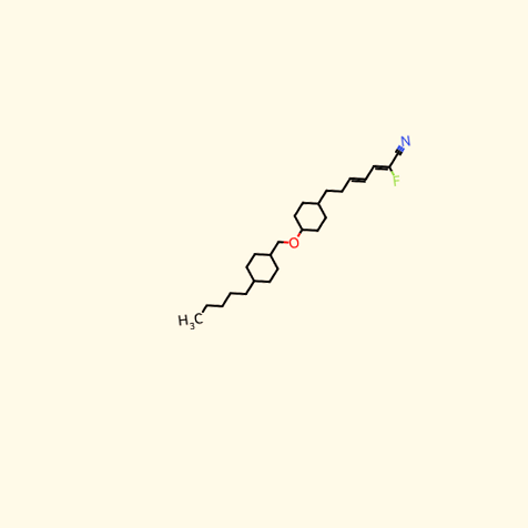 CCCCCC1CCC(COC2CCC(CCC=CC=C(F)C#N)CC2)CC1